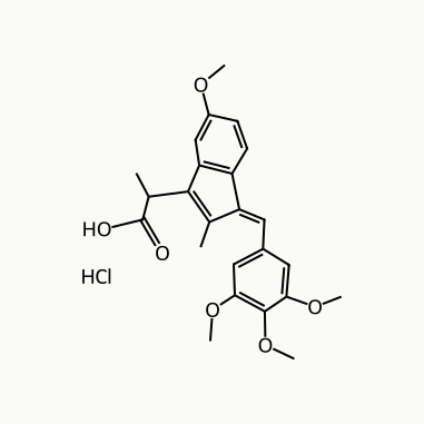 COc1ccc2c(c1)C(C(C)C(=O)O)=C(C)C2=Cc1cc(OC)c(OC)c(OC)c1.Cl